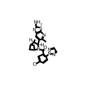 Cc1nc2sc(N)nc2cc1[C@@H]1[C@H](C)C2CC(C2)N1C(=O)c1cc(Cl)ccc1-n1nccn1